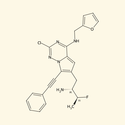 C[C@H](F)[C@H](N)Cc1cc2c(NCc3ccco3)nc(Cl)nn2c1C#Cc1ccccc1